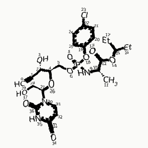 C#C[C@H](O)[C@@H](COP(=O)(N[C@@H](C)C(=O)OC(CC)CC)Oc1ccc(Cl)cc1)O[C@H](CO)n1ccc(=O)[nH]c1=O